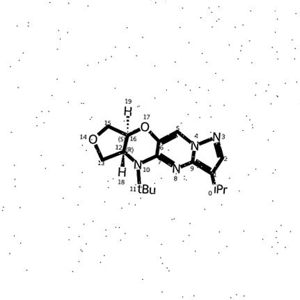 CC(C)c1cnn2cc3c(nc12)N(C(C)(C)C)[C@@H]1COC[C@H]1O3